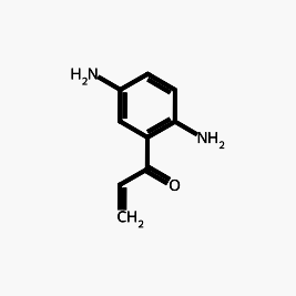 C=CC(=O)c1cc(N)ccc1N